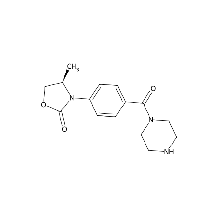 C[C@@H]1COC(=O)N1c1ccc(C(=O)N2CCNCC2)cc1